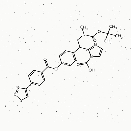 CN(CC(c1ccc(OC(=O)c2ccc(-c3csnn3)cc2)cc1)c1nccn1C(=O)O)C(=O)OC(C)(C)C